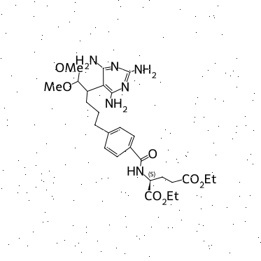 CCOC(=O)CC[C@H](NC(=O)c1ccc(CCCC(c2c(N)nc(N)nc2N)C(OC)OC)cc1)C(=O)OCC